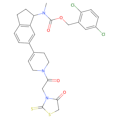 CN(C(=O)OCc1cc(Cl)ccc1Cl)C1CCc2ccc(C3=CCN(C(=O)CN4C(=O)CSC4=S)CC3)cc21